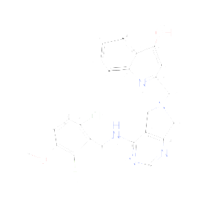 COc1ccc(Cl)c(CNc2ncnc3c2CN(Cc2cc(O)c4ccccc4n2)C3)c1F